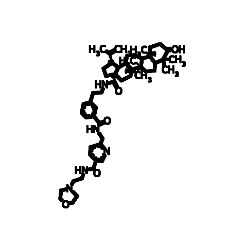 C=C(C)[C@@H]1CC[C@]2(C(=O)NCCc3cccc(C(=O)NCc4ccc(C(=O)NCCN5CCOCC5)cn4)c3)CC[C@]3(C)C(CCC4[C@@]5(C)CC[C@H](O)C(C)(C)C5CC[C@]43C)C12